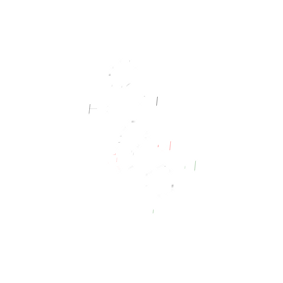 CC(C)(c1ccccc1)c1cc(O)c2c(-c3cc(Cl)cc(Cl)c3)coc2c1